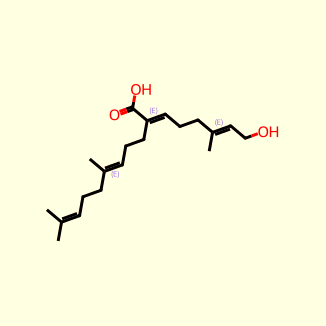 CC(C)=CCC/C(C)=C/CC/C(=C\CC/C(C)=C/CO)C(=O)O